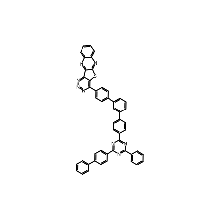 c1ccc(-c2ccc(-c3nc(-c4ccccc4)nc(-c4ccc(-c5cccc(-c6ccc(-c7nnnc8c7sc7nc9ccccc9nc78)cc6)c5)cc4)n3)cc2)cc1